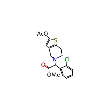 COC(=O)C(c1ccccc1Cl)N1CCc2sc(OC(C)=O)cc2C1